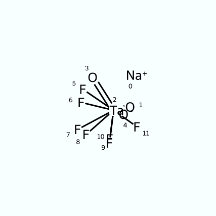 [Na+].[O]=[Ta](=[O])([O-])([F])([F])([F])([F])([F])([F])[F]